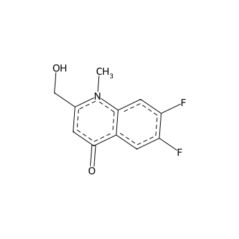 Cn1c(CO)cc(=O)c2cc(F)c(F)cc21